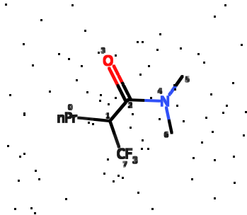 CCCC(C(=O)N(C)C)C(F)(F)F